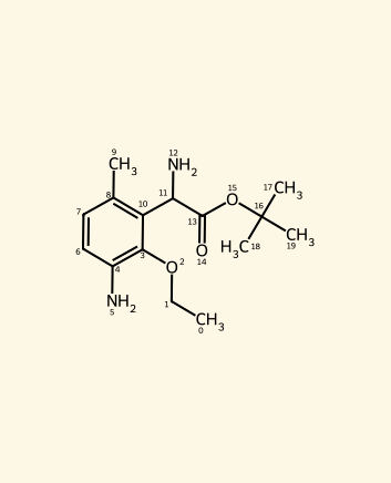 CCOc1c(N)ccc(C)c1C(N)C(=O)OC(C)(C)C